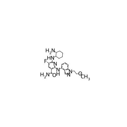 COCCn1ncc2c(Nc3nc(NC4CCCCC4N)c(F)cc3C(N)=O)cccc21